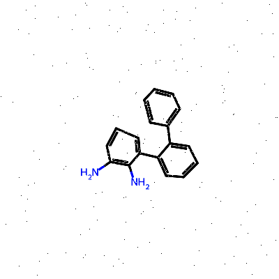 Nc1cccc(-c2ccccc2-c2ccccc2)c1N